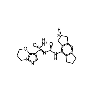 N[S@@](=O)(=NC(=O)Nc1c2c(cc3c1C[C@@H](F)C3)CCC2)c1cnn2c1OCCC2